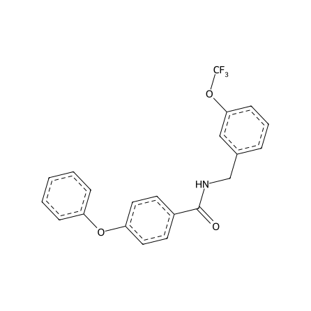 O=C(NCc1cccc(OC(F)(F)F)c1)c1ccc(Oc2ccccc2)cc1